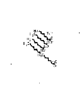 CCCCCCCC(=O)[O-].CCCCCCCC(=O)[O-].CCCCCCCC(=O)[O-].CCCCCCCC(=O)[O-].CCCCCCCC(=O)[O-].[Ta+5]